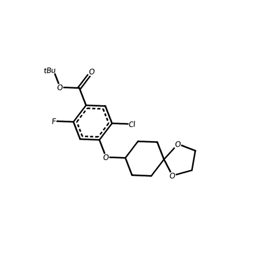 CC(C)(C)OC(=O)c1cc(Cl)c(OC2CCC3(CC2)OCCO3)cc1F